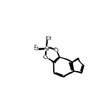 CC[Si]1(CC)Oc2ccc3c(c2O1)CC=C3